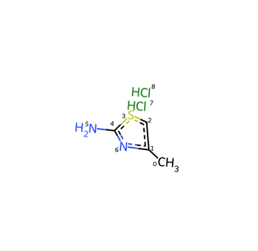 Cc1csc(N)n1.Cl.Cl